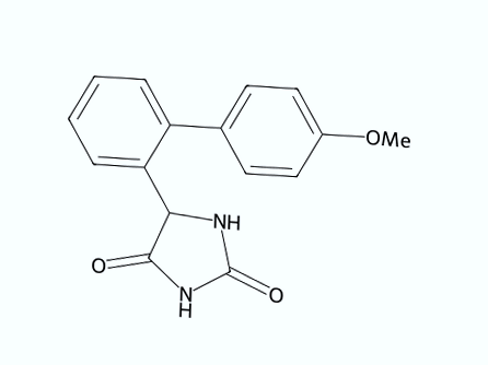 COc1ccc(-c2ccccc2C2NC(=O)NC2=O)cc1